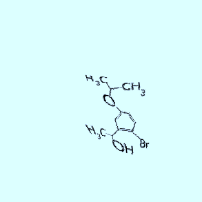 CC(C)Oc1ccc(Br)c(C(C)O)c1